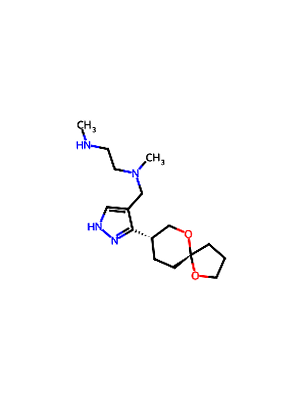 CNCCN(C)Cc1c[nH]nc1[C@H]1CC[C@]2(CCCO2)OC1